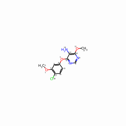 COc1cc(Oc2ncnc(OC)c2N)ccc1Cl